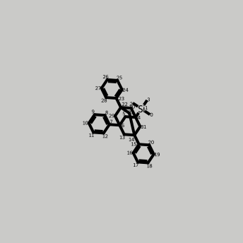 C[Si](C)(C)C12CC3(c4ccccc4)CC(c4ccccc4)(CC(c4ccccc4)(C3)C1)C2